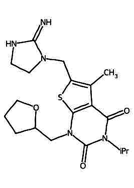 Cc1c(CN2CCNC2=N)sc2c1c(=O)n(C(C)C)c(=O)n2CC1CCCO1